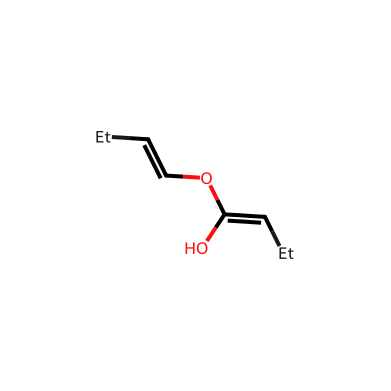 CCC=COC(O)=CCC